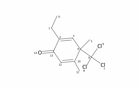 CCC1=CC(C)(C(Cl)(Cl)Cl)C(C)=CC1=O